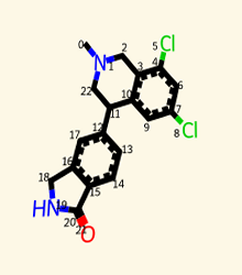 CN1Cc2c(Cl)cc(Cl)cc2C(c2ccc3c(c2)CNC3=O)C1